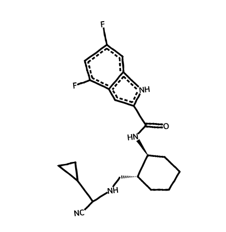 N#CC(NC[C@H]1CCCC[C@@H]1NC(=O)c1cc2c(F)cc(F)cc2[nH]1)C1CC1